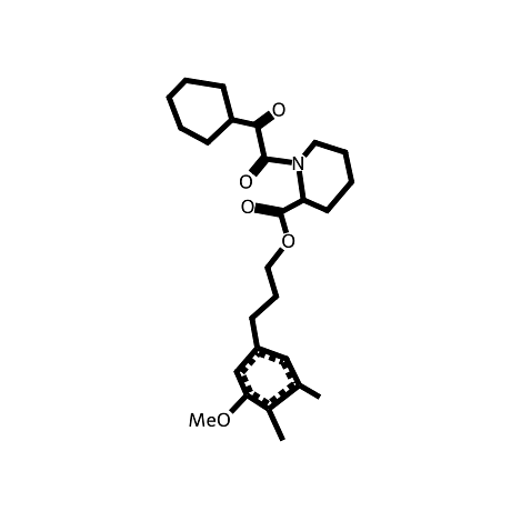 COc1cc(CCCOC(=O)C2CCCCN2C(=O)C(=O)C2CCCCC2)cc(C)c1C